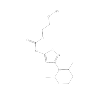 CC(C)OCCOC(=O)[N-]c1c[n+](N2C(C)CCCC2C)no1